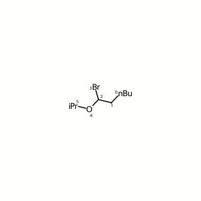 CCCCCC(Br)OC(C)C